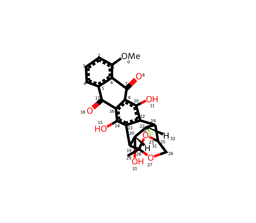 COc1cccc2c1C(=O)c1c(O)c3c(c(O)c1C2=O)C1[C@@H](O)[C@@H](F)C3C2COC1(C)O2